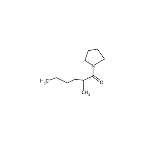 CCCCC(C)C(=O)N1CCCC1